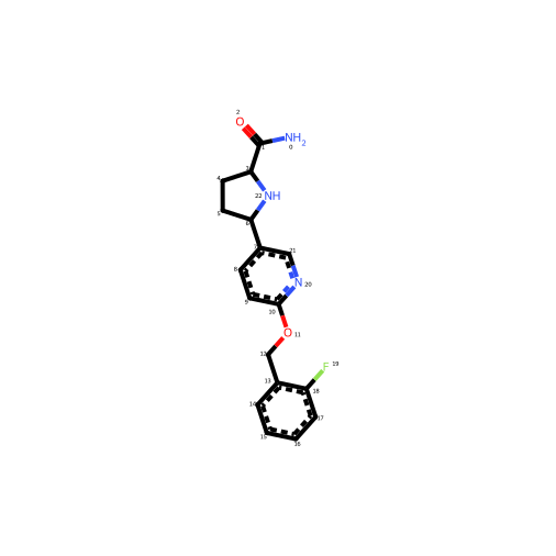 NC(=O)C1CCC(c2ccc(OCc3ccccc3F)nc2)N1